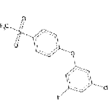 O=S(=O)(c1ccc(Oc2cc(F)cc(Cl)c2)cc1)C(F)(F)F